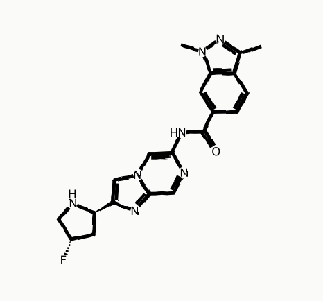 Cc1nn(C)c2cc(C(=O)Nc3cn4cc([C@H]5C[C@H](F)CN5)nc4cn3)ccc12